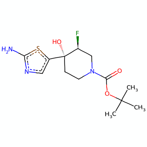 CC(C)(C)OC(=O)N1CC[C@@](O)(c2cnc(N)s2)[C@@H](F)C1